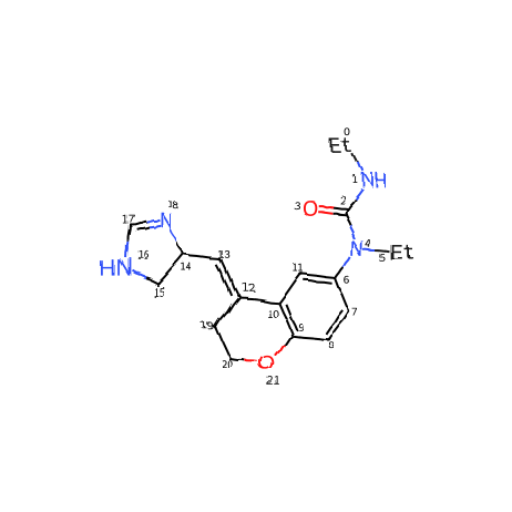 CCNC(=O)N(CC)c1ccc2c(c1)/C(=C/C1CNC=N1)CCO2